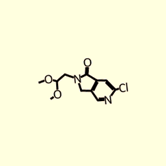 COC(CN1Cc2cnc(Cl)cc2C1=O)OC